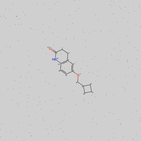 O=C1CCc2cc(OCC3CCC3)ccc2N1